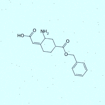 NC1CC(C(=O)OCc2ccccc2)CCC1=CC(=O)O